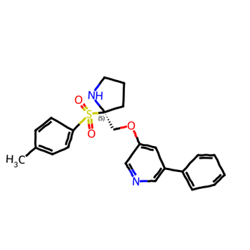 Cc1ccc(S(=O)(=O)[C@]2(COc3cncc(-c4ccccc4)c3)CCCN2)cc1